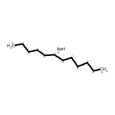 C[CH]CCCCCCCCCC.[NaH]